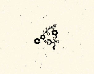 C=CCN(C(=O)OCc1ccc([N+](=O)[O-])cc1)C1CCN(C[C@H]2C[C@H](N(C)C(=O)N(C)C)C[C@@H]2c2ccccc2)CC1